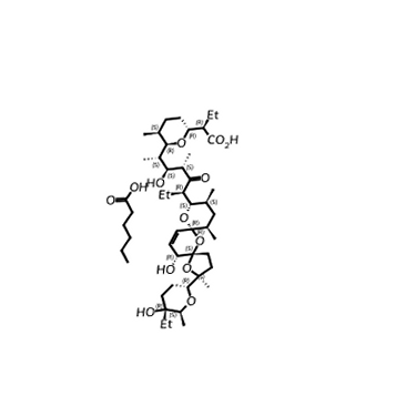 CCCCCC(=O)O.CC[C@@H](C(=O)[C@@H](C)[C@@H](O)[C@H](C)[C@@H]1O[C@@H]([C@@H](CC)C(=O)O)CC[C@@H]1C)[C@H]1O[C@]2(C=C[C@@H](O)[C@]3(CC[C@@](C)([C@H]4CC[C@](O)(CC)[C@H](C)O4)O3)O2)[C@H](C)C[C@@H]1C